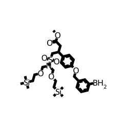 Bc1cccc(COc2ccc(C(CC(=O)OC)CS(=O)(=O)N(COCC[Si](C)(C)C)COCC[Si](C)(C)C)cc2)c1